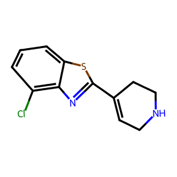 Clc1cccc2sc(C3=CCNCC3)nc12